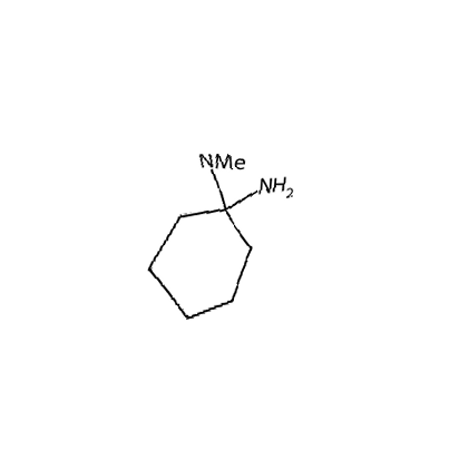 [C]NC1(N)CCCCC1